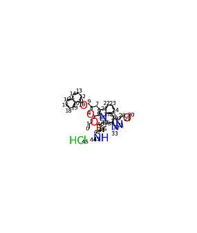 CCOC(=O)c1c(CCCOc2cccc3ccccc23)c2cccc(-c3c(COC)nn(C)c3CBr)c2n1CCCCNC.Cl